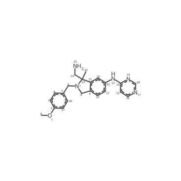 COc1ccc(CN2Cc3ccc(Nc4ccncn4)cc3C2(C)CN)cc1